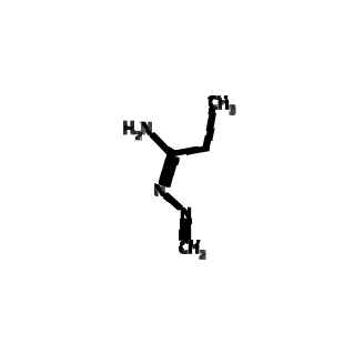 C=N/N=C(/N)CC